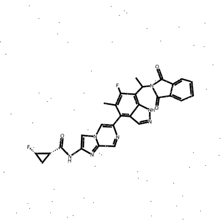 Cc1c(F)c(C(C)N2C(=O)c3ccccc3C2=O)c2[nH]ncc2c1-c1cn2cc(NC(=O)[C@@H]3C[C@@H]3F)nc2cn1